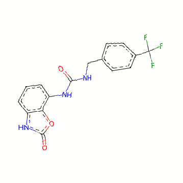 O=C(NCc1ccc(C(F)(F)F)cc1)Nc1cccc2[nH]c(=O)oc12